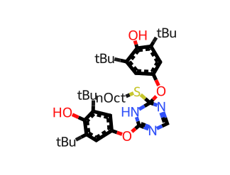 CCCCCCCCSC1(Oc2cc(C(C)(C)C)c(O)c(C(C)(C)C)c2)N=CN=C(Oc2cc(C(C)(C)C)c(O)c(C(C)(C)C)c2)N1